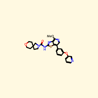 COc1ncc(-c2cccc(Oc3cccnc3)c2)c2sc(NC(=O)N3CCC4(CCOCC4)C3)nc12